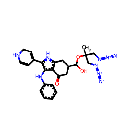 CC(CN=[N+]=[N-])(CN=[N+]=[N-])OC(O)C1CC(=O)c2c([nH]c(C3=CCNC=C3)c2Nc2ccccc2)C1